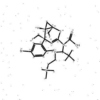 CC(C)(C)C(OCC[Si](C)(C)C)N(C(=O)O)C1=N[C@](CF)(c2cc(Br)ccc2F)[C@@H]2C[C@]2(CF)S1